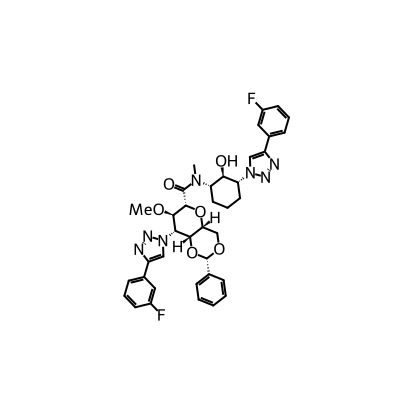 CO[C@@H]1[C@@H](n2cc(-c3cccc(F)c3)nn2)[C@H]2O[C@@H](c3ccccc3)OC[C@H]2O[C@H]1C(=O)N(C)[C@H]1CCC[C@@H](n2cc(-c3cccc(F)c3)nn2)[C@@H]1O